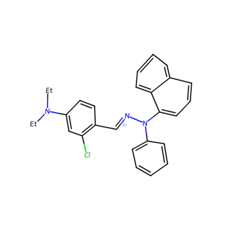 CCN(CC)c1ccc(/C=N/N(c2ccccc2)c2cccc3ccccc23)c(Cl)c1